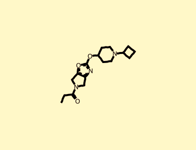 CCC(=O)N1Cc2nc(OC3CCN(C4CCC4)CC3)oc2C1